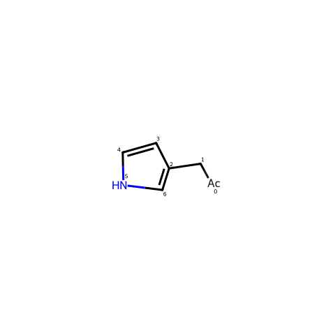 CC(=O)Cc1cc[nH]c1